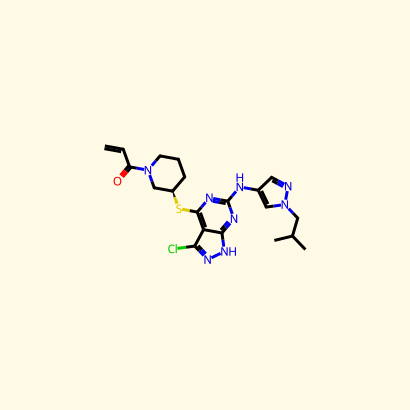 C=CC(=O)N1CCC[C@@H](Sc2nc(Nc3cnn(CC(C)C)c3)nc3[nH]nc(Cl)c23)C1